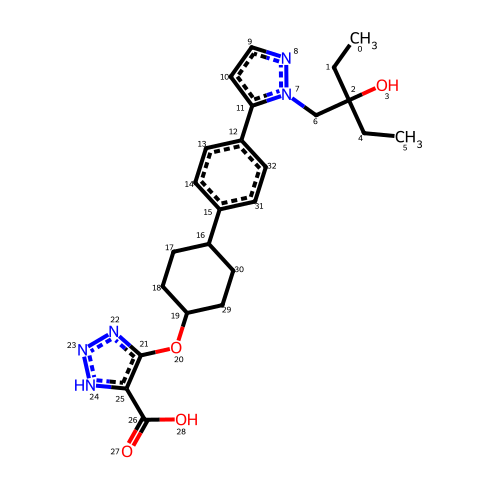 CCC(O)(CC)Cn1nccc1-c1ccc(C2CCC(Oc3nn[nH]c3C(=O)O)CC2)cc1